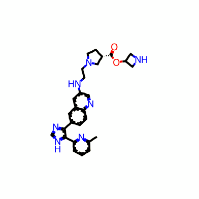 Cc1cccc(-c2[nH]cnc2-c2ccc3ncc(NCCN4CC[C@H](C(=O)OC5CNC5)C4)cc3c2)n1